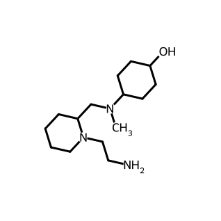 CN(CC1CCCCN1CCN)C1CCC(O)CC1